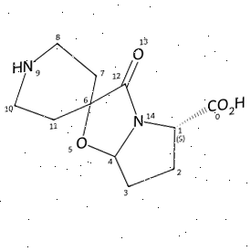 O=C(O)[C@@H]1CCC2OC3(CCNCC3)C(=O)N21